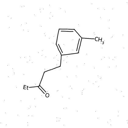 CCC(=O)CCc1cccc(C)c1